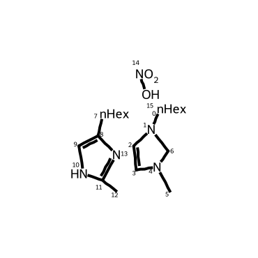 CCCCCCN1C=CN(C)C1.CCCCCCc1c[nH]c(C)n1.O=[N+]([O-])O